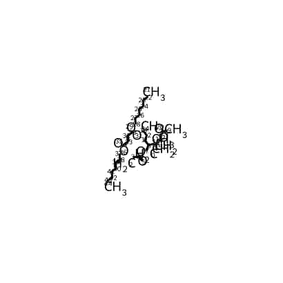 C=C.C=CC(=O)OCC(CC)CCCC.C=COC(C)=O.CCCCCCCCOC(=O)C=CC(=O)OCCCCCCCC